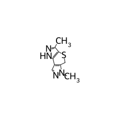 Cc1n[nH]c2c1SCc1c-2cnn1C